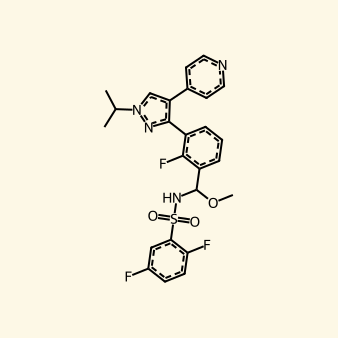 COC(NS(=O)(=O)c1cc(F)ccc1F)c1cccc(-c2nn(C(C)C)cc2-c2ccncc2)c1F